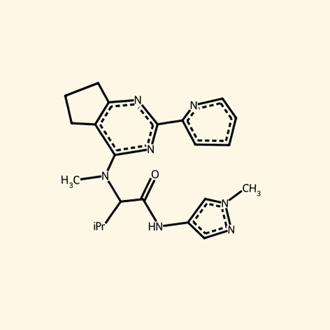 CC(C)C(C(=O)Nc1cnn(C)c1)N(C)c1nc(-c2ccccn2)nc2c1CCC2